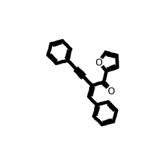 O=C(C(C#Cc1ccccc1)=Cc1ccccc1)c1ccco1